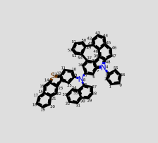 c1ccc(-n2c3cc(N(c4ccc5sc6cc7ccccc7cc6c5c4)c4cccc5ccccc45)cc4c3c3c5c(cccc5ccc32)-c2ccccc2-4)cc1